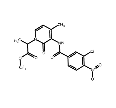 COC(=O)C(C)n1ccc(C)c(NC(=O)c2ccc([N+](=O)[O-])c(Cl)c2)c1=O